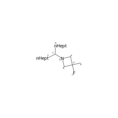 CCCCCCCC(CCCCCCC)N1CC(C)(F)C1